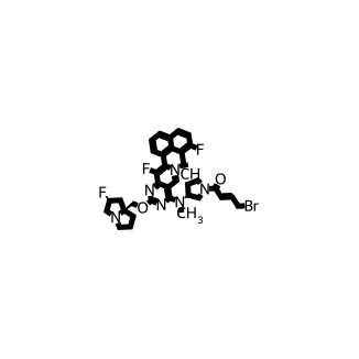 C#Cc1c(F)ccc2cccc(-c3ncc4c(N(C)[C@@H]5CCN(C(=O)/C=C/CBr)C5)nc(OC[C@@]56CCCN5C[C@H](F)C6)nc4c3F)c12